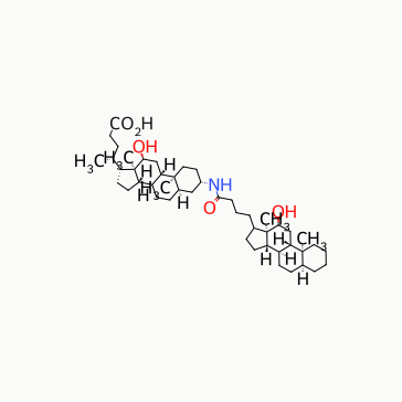 C[C@H](CCC(=O)O)[C@H]1CC[C@H]2[C@@H]3CC[C@@H]4C[C@@H](NC(=O)CCCC5CC[C@H]6[C@@H]7CC[C@@H]8CCCC[C@]8(C)[C@H]7C[C@H](O)[C@]56C)CC[C@]4(C)[C@H]3C[C@H](O)[C@]12C